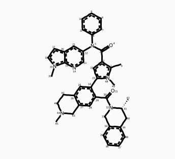 Cc1c(C(=O)N(c2ccccc2)c2cnc3c(ccn3C)c2)cc(-c2cc3c(cc2C(=O)N2Cc4ccccc4C[C@H]2C)CN(C)CC3)n1C